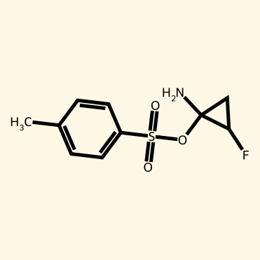 Cc1ccc(S(=O)(=O)OC2(N)CC2F)cc1